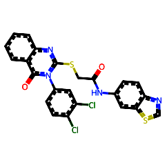 O=C(CSc1nc2ccccc2c(=O)n1-c1ccc(Cl)c(Cl)c1)Nc1ccc2ncsc2c1